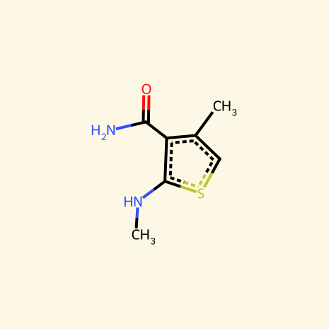 CNc1scc(C)c1C(N)=O